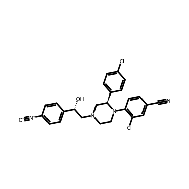 [C-]#[N+]c1ccc([C@H](O)CN2CCN(c3ccc(C#N)cc3Cl)[C@H](c3ccc(Cl)cc3)C2)cc1